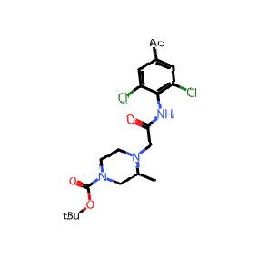 CC(=O)c1cc(Cl)c(NC(=O)CN2CCN(C(=O)OC(C)(C)C)CC2C)c(Cl)c1